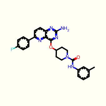 Cc1cccc(NC(=O)N2CCC(Oc3nc(N)nc4ccc(-c5ccc(F)cc5)nc34)CC2)c1